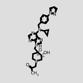 CC(=O)CN1CC[C@@](O)(Cn2cnc3c(N(Cc4ccc(-n5cccn5)cc4)C4CC4)ncnc32)[C@H](O)C1